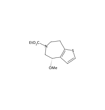 CCOC(=O)N1CCc2sccc2[C@H](OC)C1